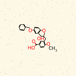 COc1ccc(C(=O)O)cc1CC1COc2ccc(OCc3ccccc3)cc2C1O